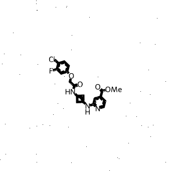 COC(=O)c1ccnc(NC23CC(NC(=O)COc4ccc(Cl)c(F)c4)(C2)C3)c1